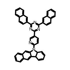 C1=CC2c3cc4ccccc4cc3N(c3ccc(-c4nc(-c5ccc6ccccc6c5)nc(-c5ccc6ccccc6c5)n4)cn3)C2C=C1